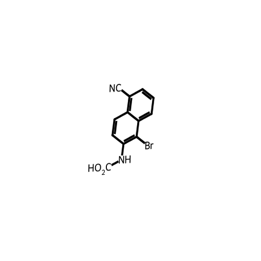 N#Cc1cccc2c(Br)c(NC(=O)O)ccc12